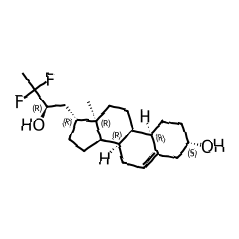 CC(F)(F)[C@H](O)C[C@H]1CCC2[C@@H]3CC=C4C[C@@H](O)CC[C@@H]4C3CC[C@@]21C